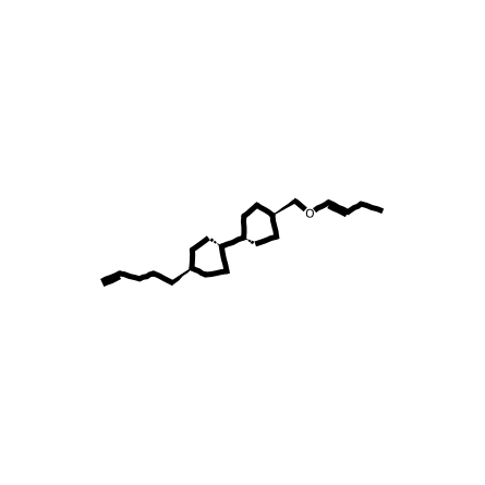 C=CCCC[C@H]1CC[C@H]([C@H]2CC[C@H](COC=CCC)CC2)CC1